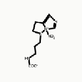 O=C([O-])NCCCN1CCC2=CN=C[N+]21[N+](=O)[O-]